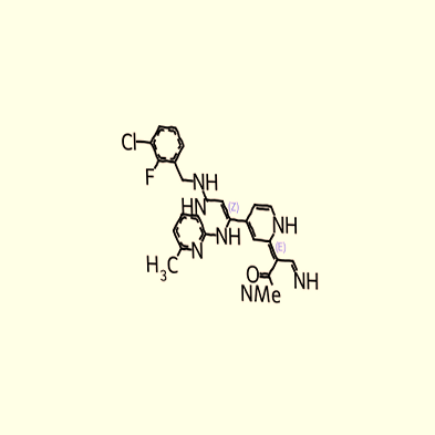 CNC(=O)/C(C=N)=C1C=C(/C(=C/C(=N)NCc2cccc(Cl)c2F)Nc2cccc(C)n2)C=CN\1